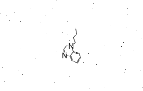 CCCCN1CC=Nc2ccccc21